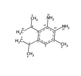 Cc1cc(C(C)C)c(C(C)C)c(N)c1N